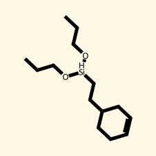 CCCO[SiH](CCC1CC=CCC1)OCCC